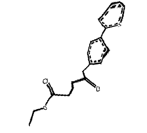 CCOC(=O)CCC(=O)c1ccc(-c2cccs2)cc1